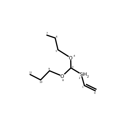 C=C[SiH2]C(OCCC)OCCC